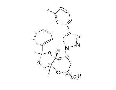 CC1(c2ccccc2)OC[C@H]2O[C@@H](C(=O)O)C[C@@H](n3cc(-c4cccc(F)c4)nn3)[C@H]2O1